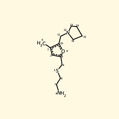 Cc1cc(CSCCN)oc1CN1CCCC1